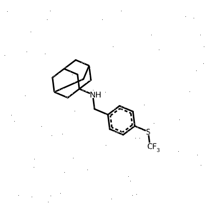 FC(F)(F)Sc1ccc(CNC23CC4CC(CC(C4)C2)C3)cc1